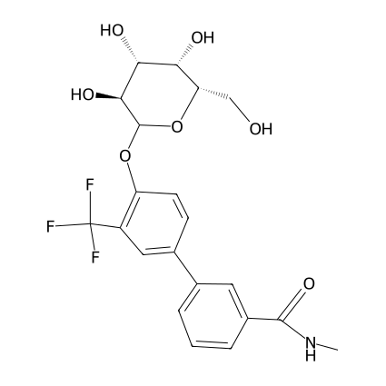 CNC(=O)c1cccc(-c2ccc(OC3O[C@@H](CO)[C@@H](O)[C@@H](O)[C@@H]3O)c(C(F)(F)F)c2)c1